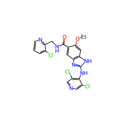 CCOc1cc2[nH]c(Nc3c(Cl)cncc3Cl)nc2cc1C(=O)NCc1ncccc1Cl